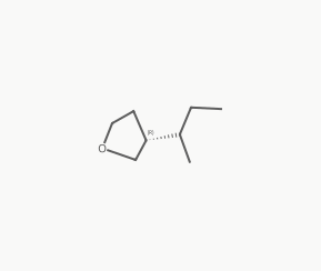 CCC(C)[C@H]1CCOC1